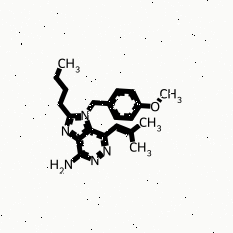 CCCCc1nc2c(N)nnc(C=C(C)C)c2n1Cc1ccc(OC)cc1